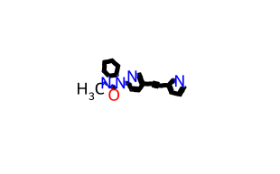 CN1C(=O)N(c2ccc(C#Cc3cccnc3)cn2)C2CCCCC21